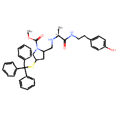 CCC(C)[C@H](NCC1CC(SC(c2ccccc2)(c2ccccc2)c2ccccc2)CN1C(=O)OC(C)(C)C)C(=O)NCCc1ccc(O)cc1